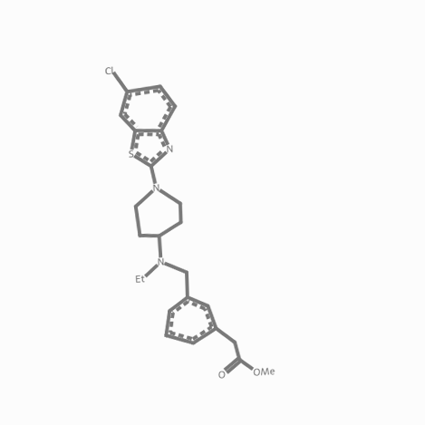 CCN(Cc1cccc(CC(=O)OC)c1)C1CCN(c2nc3ccc(Cl)cc3s2)CC1